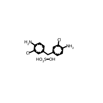 Nc1ccc(Cc2ccc(N)c(Cl)c2)cc1Cl.O=S(=O)(O)O